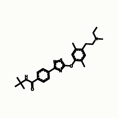 CCN(C)CCc1cc(C)c(Oc2nc(-c3ccc(C(=O)NC(C)(C)C)cc3)ns2)cc1C